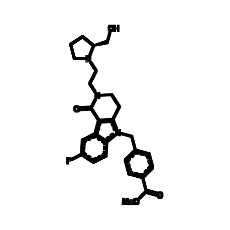 COC(=O)c1ccc(Cn2c3c(c4cc(F)ccc42)C(=O)N(CCN2CCC[C@H]2CO)CC3)cc1